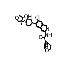 C[C@]1(N2CCC(c3cc4cc(NC(=O)[C@@H]5[C@@H]6COCC[C@@H]65)ncc4cc3Cl)CC2)COC[C@H]1O